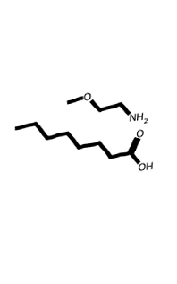 CCCCCCCC(=O)O.COCCN